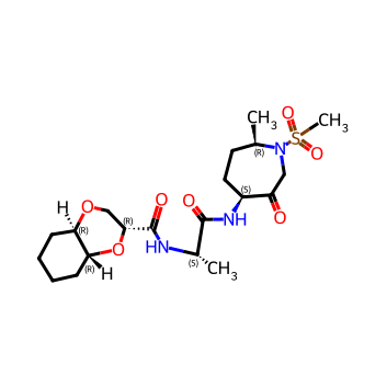 C[C@H](NC(=O)[C@H]1CO[C@@H]2CCCC[C@H]2O1)C(=O)N[C@H]1CC[C@@H](C)N(S(C)(=O)=O)CC1=O